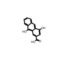 O=C(O)c1cc(O)c2cc3ccccc3c(O)c2c1